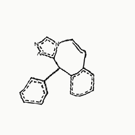 C1=Cn2cnnc2C(c2ccccc2)c2ccccc21